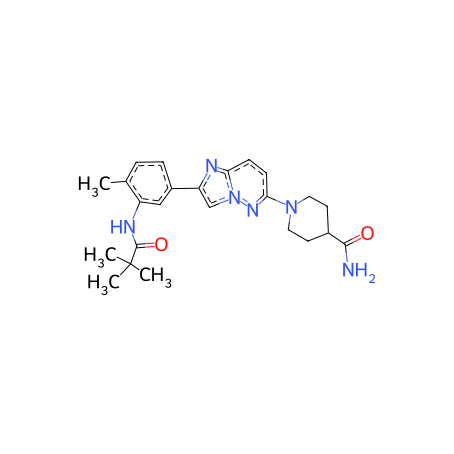 Cc1ccc(-c2cn3nc(N4CCC(C(N)=O)CC4)ccc3n2)cc1NC(=O)C(C)(C)C